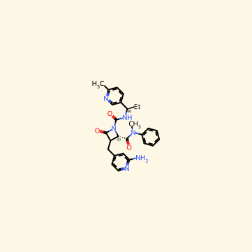 CC[C@@H](NC(=O)N1C(=O)C(Cc2ccnc(N)c2)[C@H]1C(=O)N(C)c1ccccc1)c1ccc(C)nc1